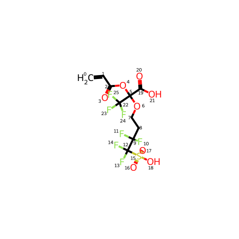 C=CC(=O)OC(OCCC(F)(F)C(F)(F)S(=O)(=O)O)(C(=O)O)C(F)(F)F